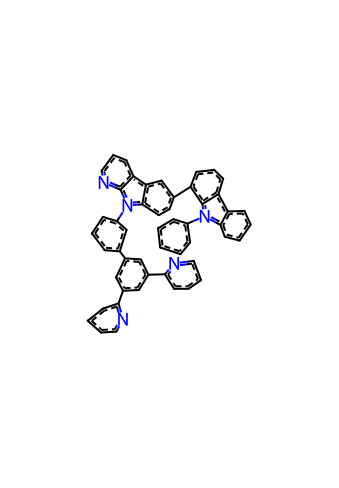 c1ccc(-n2c3ccccc3c3cccc(-c4ccc5c(c4)c4cccnc4n5-c4cccc(-c5cc(-c6ccccn6)cc(-c6ccccn6)c5)c4)c32)cc1